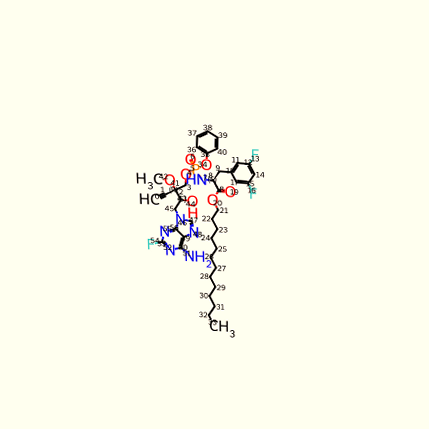 C#C[C@](COP(=O)(N[C@@H](Cc1cc(F)cc(F)c1)C(=O)OCCCCCCCCCCCCC)Oc1ccccc1)(OC)[C@@H](O)Cn1cnc2c(N)nc(F)nc21